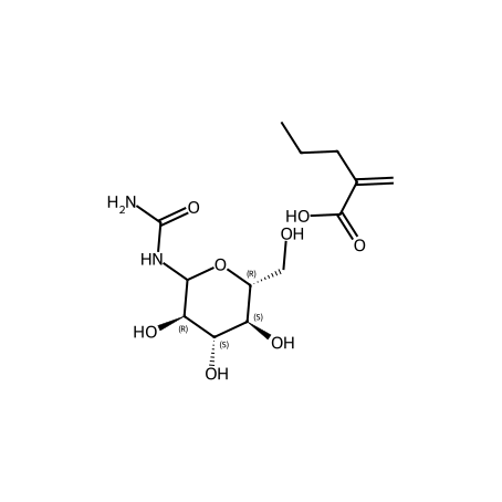 C=C(CCC)C(=O)O.NC(=O)NC1O[C@H](CO)[C@@H](O)[C@H](O)[C@H]1O